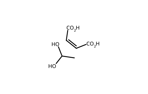 CC(O)O.O=C(O)/C=C\C(=O)O